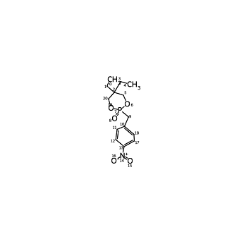 CCC1(CC)COP(=O)(Cc2ccc([N+](=O)[O-])cc2)OC1